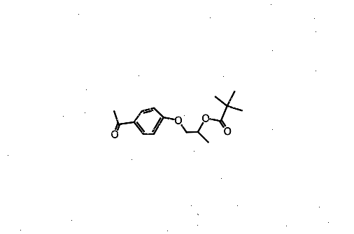 CC(=O)c1ccc(OCC(C)OC(=O)C(C)(C)C)cc1